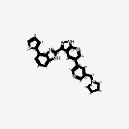 c1csc(-c2cccc3[nH]c(-c4n[nH]c5ncc(-c6cncc(CN7CCCC7)c6)cc45)nc23)c1